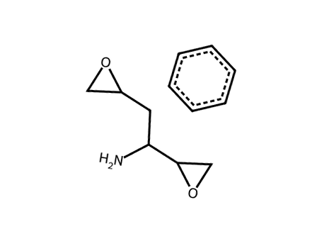 NC(CC1CO1)C1CO1.c1ccccc1